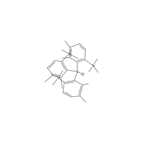 Cc1ccc([Si](C)(C)C)c([Si](Cl)(c2c([Si](C)(C)C)ccc(C)c2C)c2c([Si](C)(C)C)ccc(C)c2C)c1C